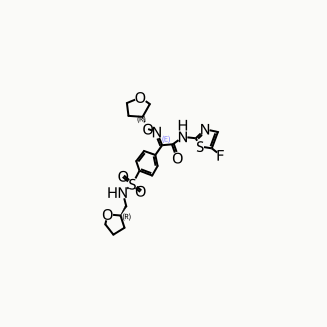 O=C(Nc1ncc(F)s1)/C(=N/O[C@@H]1CCOC1)c1ccc(S(=O)(=O)NC[C@H]2CCCO2)cc1